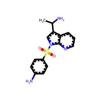 CC(N)c1cn(S(=O)(=O)c2ccc(N)cc2)c2ncccc12